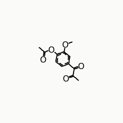 COc1cc(C(=O)C(C)=O)ccc1OC(C)=O